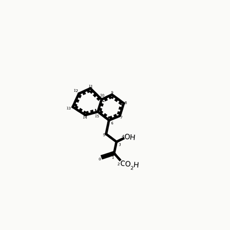 C=C(C(=O)O)C(O)Cc1cccc2ccccc12